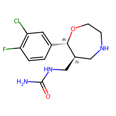 NC(=O)NC[C@@H]1CNCCO[C@H]1c1ccc(F)c(Cl)c1